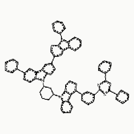 c1ccc(-c2ccc3c(c2)c2cc(-c4ccc5c(c4)c4ccccc4n5-c4ccccc4)ccc2n3C2CCCC(n3c4ccccc4c4c(-c5cccc(-c6nc(-c7ccccc7)nc(-c7ccccc7)n6)c5)cccc43)C2)cc1